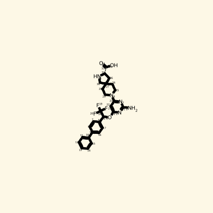 Nc1nc(OC(c2ccc(-c3ccccc3)cc2)C(F)(F)F)cc(N2CCC3(CC2)CN[C@H](C(=O)O)C3)n1